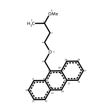 COC(C)CCOCc1c2ccccc2cc2ccccc12